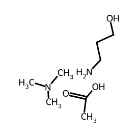 CC(=O)O.CN(C)C.NCCCO